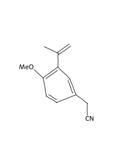 C=C(C)c1cc(CC#N)ccc1OC